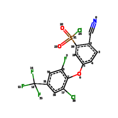 N#Cc1ccc(Oc2c(F)cc(C(F)(F)F)cc2Cl)cc1S(=O)(=O)Cl